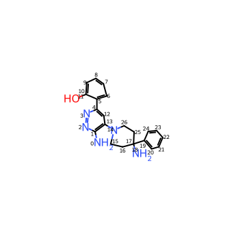 Nc1nnc(-c2ccccc2O)cc1N1CCC(N)(c2ccccc2)CC1